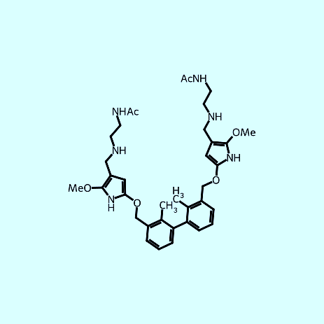 COc1[nH]c(OCc2cccc(-c3cccc(COc4cc(CNCCNC(C)=O)c(OC)[nH]4)c3C)c2C)cc1CNCCNC(C)=O